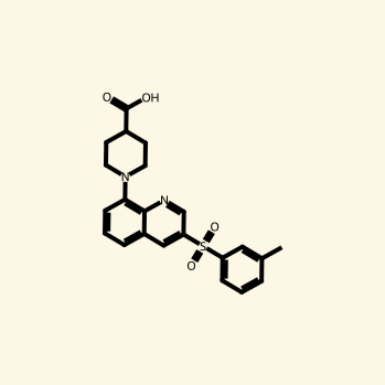 Cc1cccc(S(=O)(=O)c2cnc3c(N4CCC(C(=O)O)CC4)cccc3c2)c1